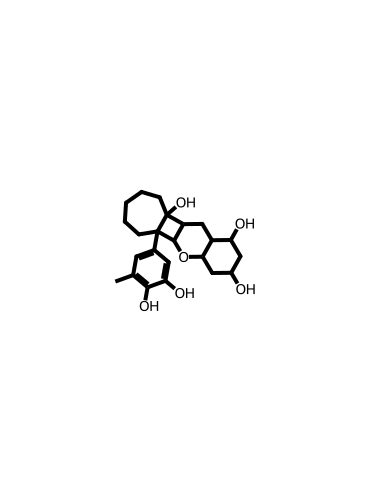 Cc1cc(C23CCCCCC2(O)C2CC4C(O)CC(O)CC4OC23)cc(O)c1O